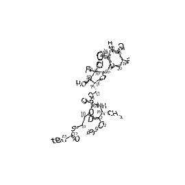 CC(C)OC(=O)[C@@H](C)N[P@](=O)(OCCSC(=O)C(C)(C)C)OC[C@H]1O[C@@H](n2cc(F)c(=O)[nH]c2=O)[C@@](F)(Cl)[C@@H]1O